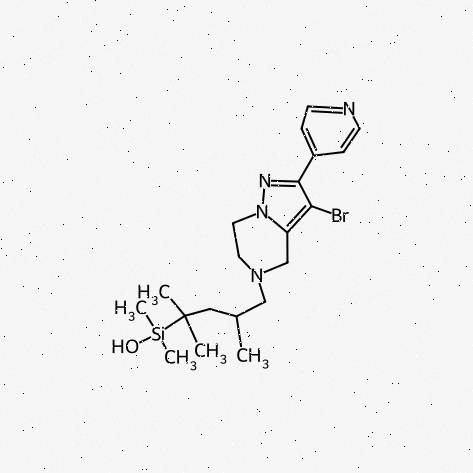 CC(CN1CCn2nc(-c3ccncc3)c(Br)c2C1)CC(C)(C)[Si](C)(C)O